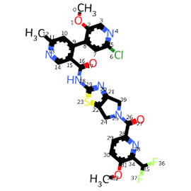 COc1cnc(Cl)cc1-c1cc(C)ncc1C(=O)Nc1nc2c(s1)CN(C(=O)c1ccc(OC)c(C(F)F)n1)C2